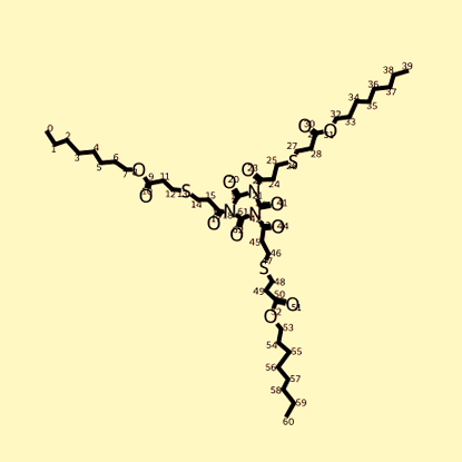 CCCCCCCCOC(=O)CCSCCC(=O)n1c(=O)n(C(=O)CCSCCC(=O)OCCCCCCCC)c(=O)n(C(=O)CCSCCC(=O)OCCCCCCCC)c1=O